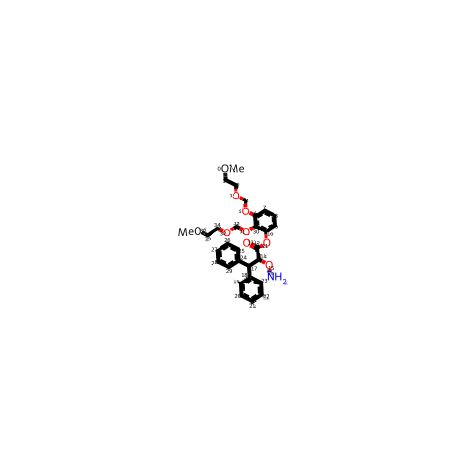 COCCOCOc1cccc(OC(=O)C(ON)C(c2ccccc2)c2ccccc2)c1OCOCCOC